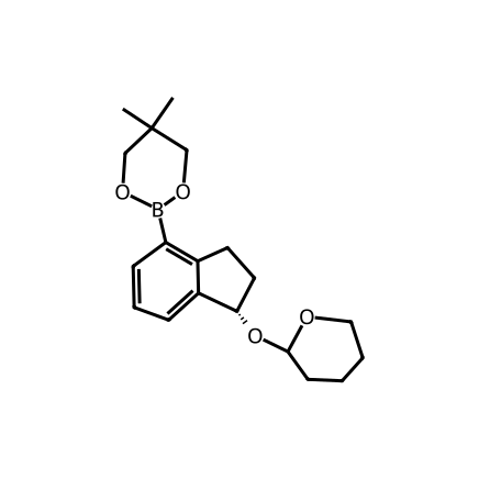 CC1(C)COB(c2cccc3c2CC[C@@H]3OC2CCCCO2)OC1